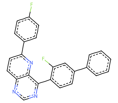 Fc1ccc(-c2ccc3ncnc(-c4ccc(-c5ccccc5)cc4F)c3n2)cc1